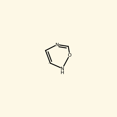 [C]1=CN=CON1